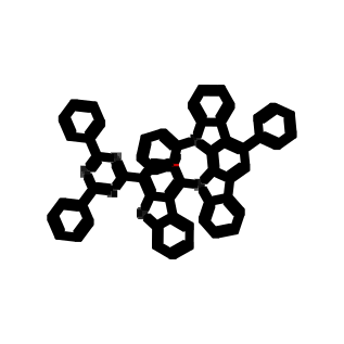 Cc1cc(-c2nc(-c3ccccc3)nc(-c3ccccc3)n2)c2oc3ccccc3c2c1-n1c2ccccc2c2cc(-c3ccccc3)c3c4ccccc4n(-c4ccccc4)c3c21